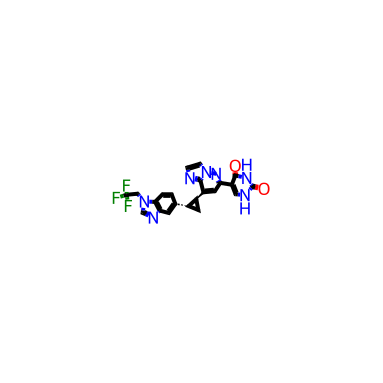 O=c1[nH]cc(-c2cc([C@H]3C[C@@H]3c3ccc4c(c3)ncn4CC(F)(F)F)c3nccn3n2)c(=O)[nH]1